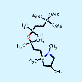 CO[Si](CC[Si](C)(C)O[Si](C)(C)CC[Si]1(C)CC(C)CN1C)(OC)OC